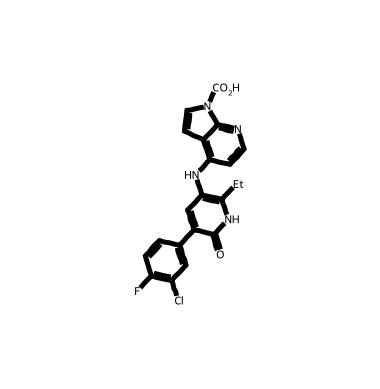 CCc1[nH]c(=O)c(-c2ccc(F)c(Cl)c2)cc1Nc1ccnc2c1ccn2C(=O)O